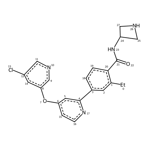 CCc1cc(-c2cc(Oc3cncc(Cl)c3)ccn2)ccc1C(=O)NC1CNC1